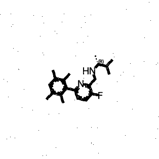 Cc1cc(C)c(C)c(-c2ccc(F)c(CN[C@H](C)C(C)C)n2)c1C